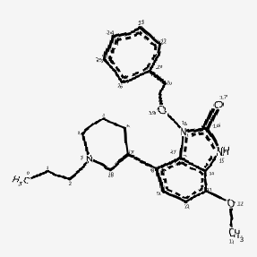 CCCN1CCCC(c2ccc(OC)c3[nH]c(=O)n(OCc4ccccc4)c23)C1